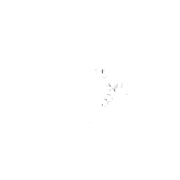 CCCCCCCCCCCCCCCOCOC1CCC(CCCSC(=O)CCCCCCC)[SiH2]N(C)CC1